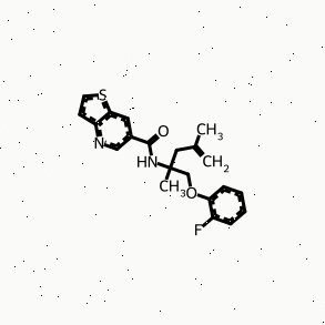 C=C(C)CC(C)(COc1ccccc1F)NC(=O)c1cnc2ccsc2c1